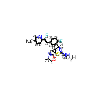 CC1COC([C@]23C[C@H]2[C@@](C)(c2cc(/C=C(\F)c4ccc(C#N)cn4)ccc2F)N=C(NC(=O)O)S3)=N1